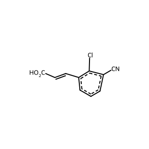 N#Cc1cccc(/C=C/C(=O)O)c1Cl